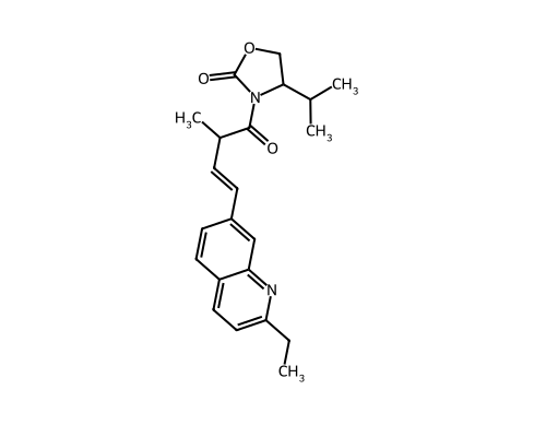 CCc1ccc2ccc(/C=C/C(C)C(=O)N3C(=O)OCC3C(C)C)cc2n1